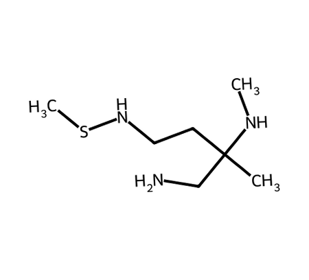 CNC(C)(CN)CCNSC